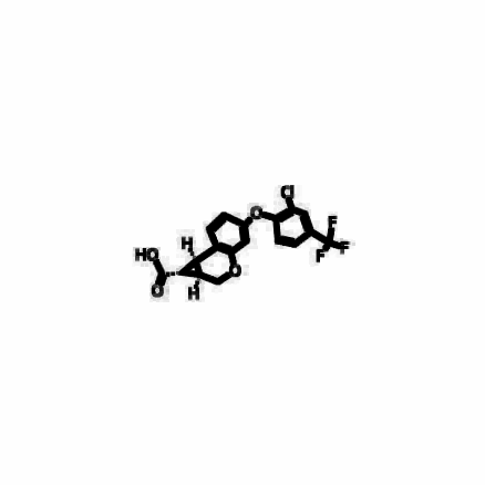 O=C(O)[C@H]1[C@@H]2COc3cc(Oc4ccc(C(F)(F)F)cc4Cl)ccc3[C@@H]21